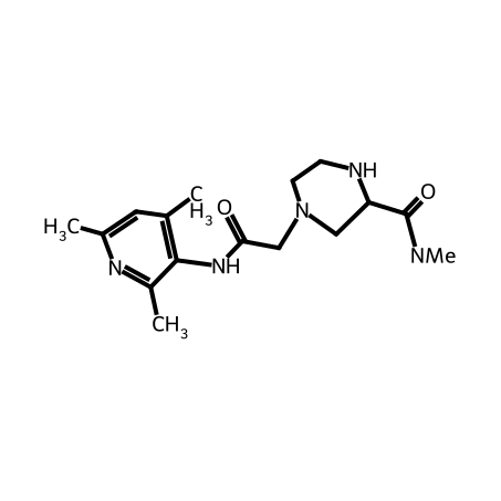 CNC(=O)C1CN(CC(=O)Nc2c(C)cc(C)nc2C)CCN1